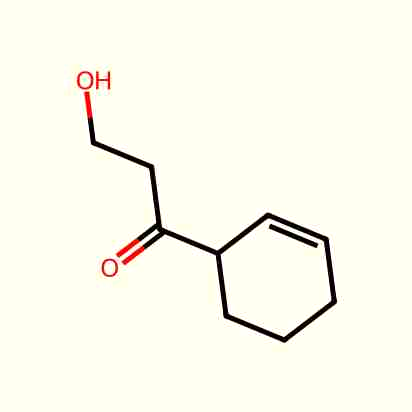 O=C(CCO)C1C=CCCC1